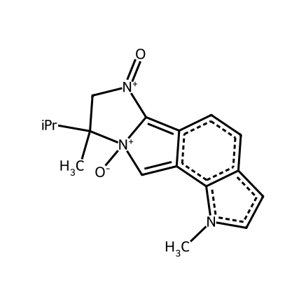 CC(C)C1(C)C[N+](=O)C2=c3ccc4ccn(C)c4c3=C[N+]21[O-]